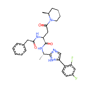 CC1CCCCN1C(=O)CC(NC(=O)Cc1ccccc1)C(=O)N[C@@H](C)c1ncc(-c2ccc(F)cc2F)[nH]1